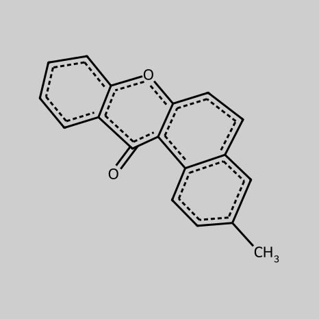 Cc1ccc2c(ccc3oc4ccccc4c(=O)c32)c1